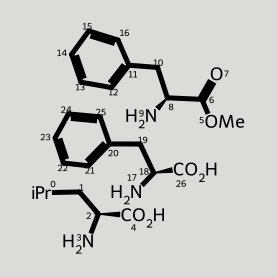 CC(C)C[C@H](N)C(=O)O.COC(=O)[C@@H](N)Cc1ccccc1.N[C@@H](Cc1ccccc1)C(=O)O